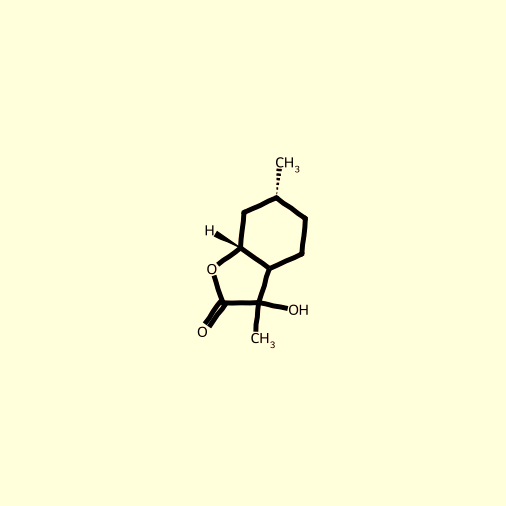 C[C@@H]1CCC2[C@@H](C1)OC(=O)C2(C)O